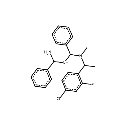 CC(c1ccc(Cl)cc1F)N(C)C(NC(N)c1ccccc1)c1ccccc1